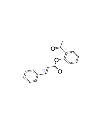 CC(=O)c1ccccc1OC(=O)/C=C/c1ccccc1